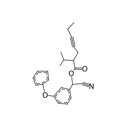 CCC#CCC(C(=O)OC(C#N)c1cccc(Oc2ccccc2)c1)C(C)C